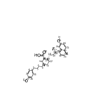 COc1ccc(CCCCN2CC[C@@H](CC[C@H](F)c3ccnc4ccc(OC)cc34)[C@@H](C(=O)O)C2)cc1